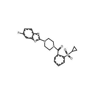 O=C(c1ccccc1S(=O)(=O)C1CC1)N1CCN(c2nc3ccc(F)cc3o2)CC1